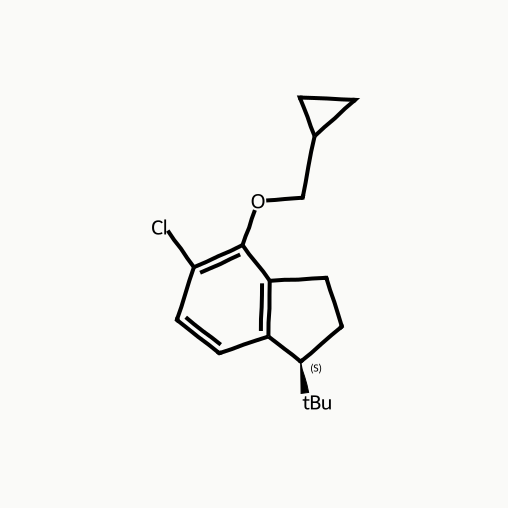 CC(C)(C)[C@@H]1CCc2c1ccc(Cl)c2OCC1CC1